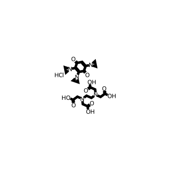 Cl.O=C(O)CN(CCN(CC(=O)O)CC(=O)O)CC(=O)O.O=C1C=C(N2CC2)C(=O)C(N2CC2)=C1N1CC1